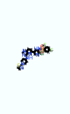 O=S(=O)(Nc1cc(-c2ccc3ncnc(NC4CCN(c5nccs5)CC4)c3n2)cnc1Cl)c1ccc(F)cc1F